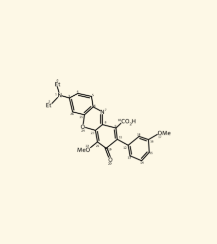 CCN(CC)c1ccc2nc3c(C(=O)O)c(-c4cccc(OC)c4)c(=O)c(OC)c-3oc2c1